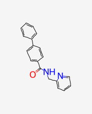 O=C(NCc1ccccn1)c1ccc(-c2ccccc2)cc1